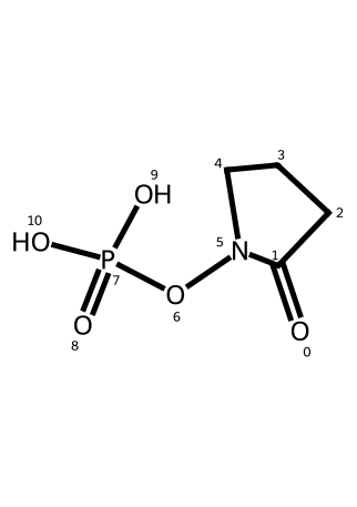 O=C1CCCN1OP(=O)(O)O